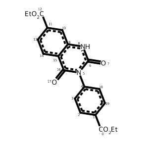 CCOC(=O)c1ccc(-n2c(=O)[nH]c3cc(C(=O)OCC)ccc3c2=O)cc1